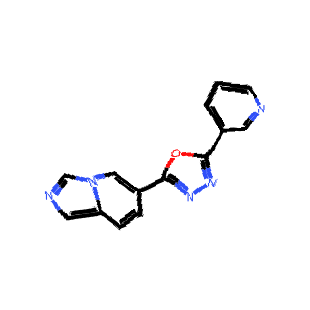 c1cncc(-c2nnc(-c3ccc4cncn4c3)o2)c1